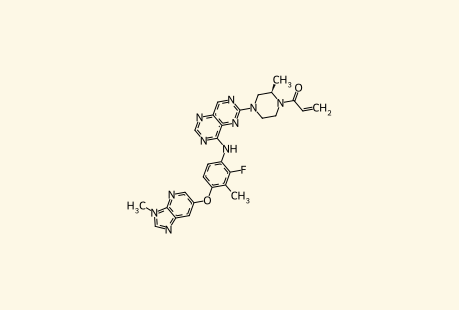 C=CC(=O)N1CCN(c2ncc3ncnc(Nc4ccc(Oc5cnc6c(c5)ncn6C)c(C)c4F)c3n2)C[C@H]1C